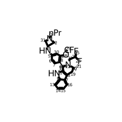 CCCN1CC(Nc2ccc([C@@H]3c4[nH]c5ccccc5c4C[C@@H](C)N3CC(F)F)c(OC(F)(F)F)c2)C1